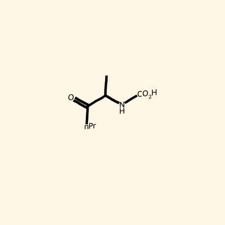 CCCC(=O)C(C)NC(=O)O